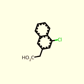 O=C(O)Cc1cc(Cl)c2ccccc2c1